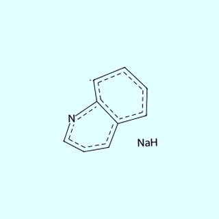 [NaH].[c]1cccc2cccnc12